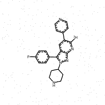 [2H]c1nc2nn(C3CCNCC3)c(-c3ccc(F)cc3)c2cc1-c1ccncc1